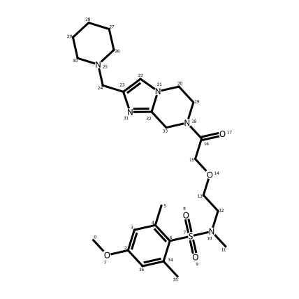 COc1cc(C)c(S(=O)(=O)N(C)CCOCC(=O)N2CCn3cc(CN4CCCCC4)nc3C2)c(C)c1